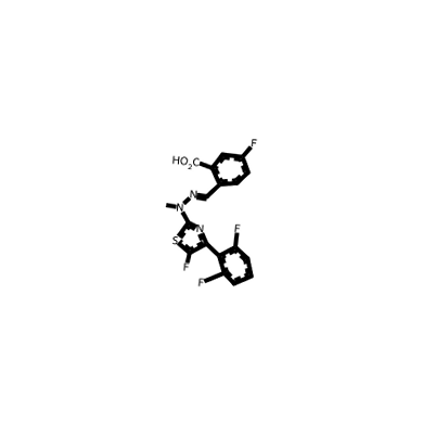 CN(/N=C/c1ccc(F)cc1C(=O)O)c1nc(-c2c(F)cccc2F)c(F)s1